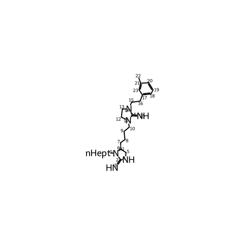 CCCCCCCN1C(=N)NC[C@@H]1CCCCN1CCN(CCc2cccc(C)c2)C1=N